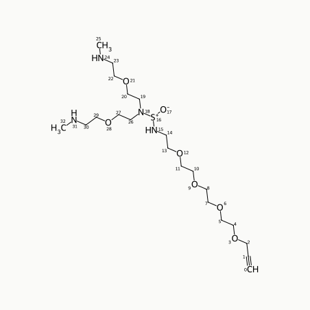 C#CCOCCOCCOCCOCCN[S+]([O-])N(CCOCCNC)CCOCCNC